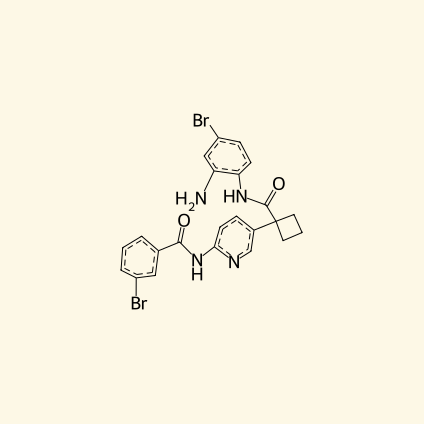 Nc1cc(Br)ccc1NC(=O)C1(c2ccc(NC(=O)c3cccc(Br)c3)nc2)CCC1